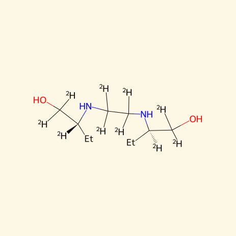 [2H]C([2H])(N[C@]([2H])(CC)C([2H])([2H])O)C([2H])([2H])N[C@]([2H])(CC)C([2H])([2H])O